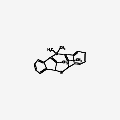 CC1=C2c3ccccc3[CH]1[Zr][CH]1C(C)=C(c3ccccc31)[Si]2(C)C